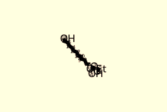 CCOP(=O)(O)OCCCCCCCCCCCCO